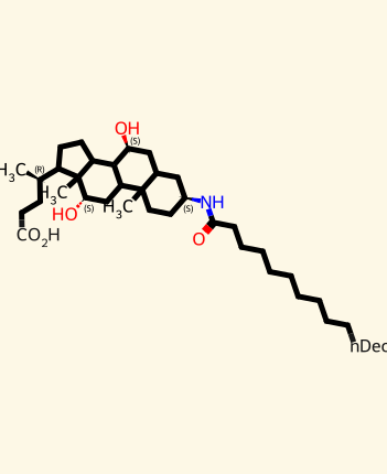 CCCCCCCCCCCCCCCCCCCC(=O)N[C@H]1CCC2(C)C(C1)C[C@H](O)C1C2C[C@H](O)C2(C)C1CCC2[C@H](C)CCC(=O)O